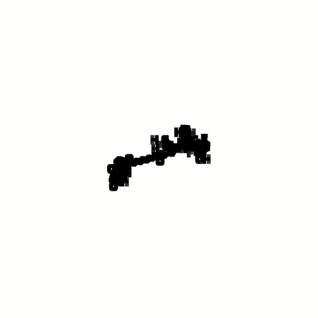 C#Cc1c(F)ccc2cc(O)cc(-c3ncc4c(N5C[C@H]6CC[C@@H](C5)N6)nc(OC[C@@]56CC[C@@H](COC(=O)NCCCCCCCC(=O)Nc7cccc8c7C(=O)N(C7CCC(=O)NC7=O)C8=O)N5CC(=C)C6)nc4c3F)c12